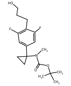 CN(C(=O)OC(C)(C)C)C1(c2cc(F)c(CCCO)c(F)c2)CC1